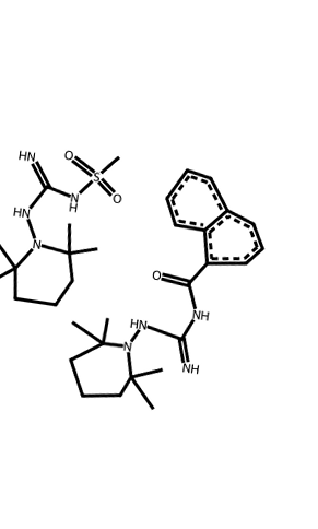 CC1(C)CCCC(C)(C)N1NC(=N)NC(=O)c1cccc2ccccc12.CC1(C)CCCC(C)(C)N1NC(=N)NS(C)(=O)=O